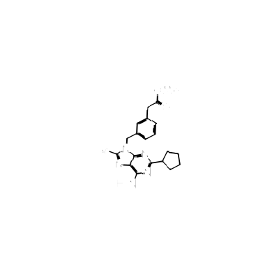 COC(=O)Cc1cccc(Cn2c(Br)nc3c(N)nc(C4CCCC4)nc32)c1